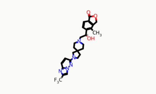 Cc1c([C@@H](O)CN2CCC3(CC2)CCN(c2ccc4nc(C(F)(F)F)cn4n2)C3)ccc2c1COC2=O